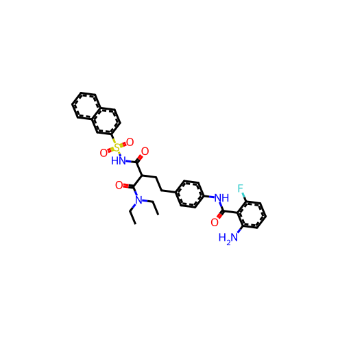 CCN(CC)C(=O)C(CCc1ccc(NC(=O)c2c(N)cccc2F)cc1)C(=O)NS(=O)(=O)c1ccc2ccccc2c1